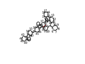 c1ccc(C2c3ccccc3-c3ccc4c5ccccc5n(-c5ccc6c(c5)oc5cc(-c7ccc8c(c7)oc7ccccc78)ccc56)c4c32)cc1